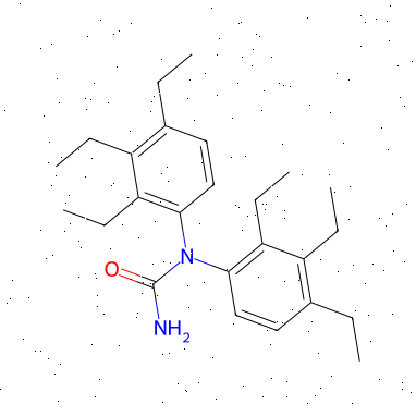 CCc1ccc(N(C(N)=O)c2ccc(CC)c(CC)c2CC)c(CC)c1CC